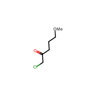 COCCCC(=O)CCl